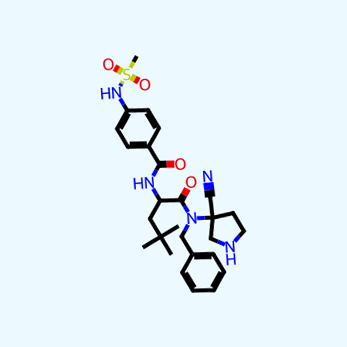 CC(C)(C)CC(NC(=O)c1ccc(NS(C)(=O)=O)cc1)C(=O)N(Cc1ccccc1)C1(C#N)CCNC1